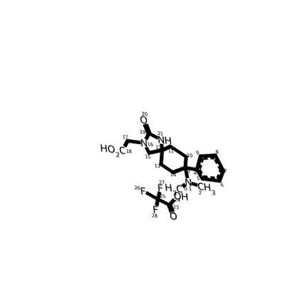 CN(C)C1(c2ccccc2)CCC2(CC1)CN(CC(=O)O)C(=O)N2.O=C(O)C(F)(F)F